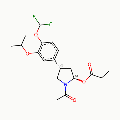 CCC(=O)O[C@@H]1C[C@@H](c2ccc(OC(F)F)c(OC(C)C)c2)CN1C(C)=O